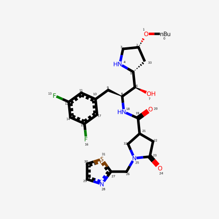 CCCCO[C@H]1CN[C@@H]([C@@H](O)[C@H](Cc2cc(F)cc(F)c2)NC(=O)C2CC(=O)N(Cc3nccs3)C2)C1